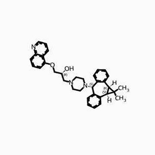 CC1(C)[C@@H]2c3ccccc3[C@@H](N3CCN(C[C@@H](O)COc4cccc5ncccc45)CC3)c3ccccc3[C@@H]21